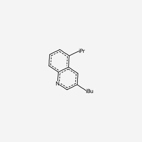 CCC(C)c1cnc2cccc(C(C)C)c2c1